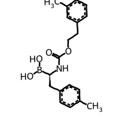 Cc1ccc(C[C@H](NC(=O)OCCc2cccc(C)c2)B(O)O)cc1